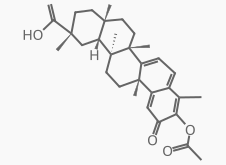 C=C(O)[C@]1(C)CC[C@]2(C)CC[C@]3(C)C4=CC=C5C(=CC(=O)C(OC(C)=O)=C5C)[C@]4(C)CC[C@@]3(C)[C@@H]2C1